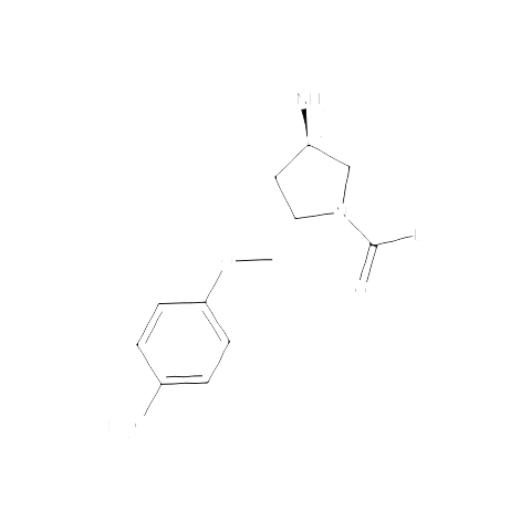 CCC(=O)N1C[C@H](N)C[C@H]1COc1ccc(C(=O)O)cc1